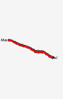 COCCOCCOCCOCCOCCOCCOCCOCCOCCOCCOCCOCCOCCOCCOCCOCCOCCOCCOCCOCCOCCOCCOCCOCCC(C)=O